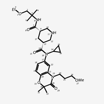 CCOCC(C)(C)NC(=O)[C@@H]1CNC[C@H](C(=O)N(c2ccc3c(c2)N(CCCOC)C(=O)C(C)(C)O3)C2CC2)C1